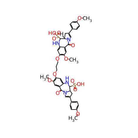 COc1ccc(C2=CN3C(=O)c4cc(OC)c(OCCCOc5cc6c(cc5OC)C(=O)N5C=C(c7ccc(OC)cc7)C[C@H]5C(S(=O)(=O)O)N6)cc4NC(S(=O)(=O)O)C3C2)cc1